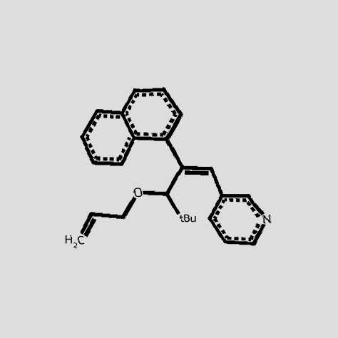 C=CCOC(C(=Cc1cccnc1)c1cccc2ccccc12)C(C)(C)C